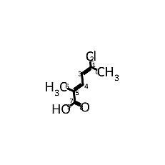 C/C(Cl)=C\C=C(/C)C(=O)O